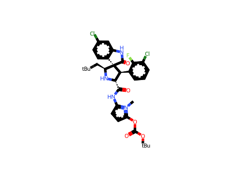 Cn1c(NC(=O)[C@@H]2N[C@@H](CC(C)(C)C)[C@@]3(C(=O)Nc4cc(Cl)ccc43)[C@H]2c2cccc(Cl)c2F)ccc1OC(=O)OC(C)(C)C